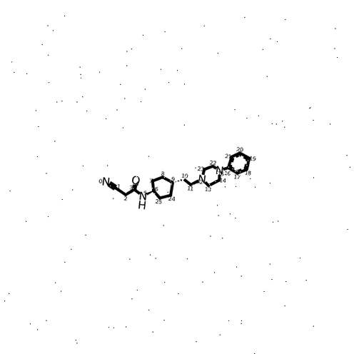 N#CCC(=O)N[C@H]1CC[C@H](CCN2CCN(c3ccccc3)CC2)CC1